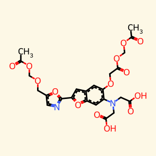 CC(=O)OCOCc1cnc(-c2cc3cc(OCC(=O)OCOC(C)=O)c(N(CC(=O)O)CC(=O)O)cc3o2)o1